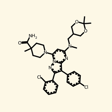 CN(CC1COC(C)(C)OC1)c1cc(N2CCC(C)(C(N)=O)CC2)n2nc(-c3ccccc3Cl)c(-c3ccc(Cl)cc3)c2n1